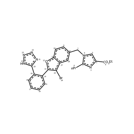 CCCc1nc(C(=O)OCC)cn1Cc1ccc2oc(-c3ccccc3-c3nnn[nH]3)c(Br)c2c1